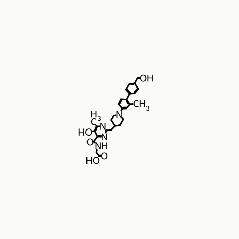 Cc1cc(N2CCC(Cc3nc(C)c(O)c(C(=O)NCC(=O)O)n3)CC2)ccc1-c1ccc(CO)cc1